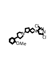 COc1ccccc1C1CCN([C@@H]2CCC3(C2)CN(c2cc(Cl)nnc2Cl)C3)CC1